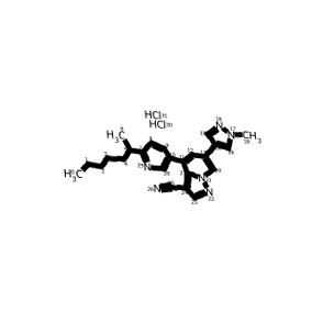 CCCCCC(C)c1ccc(-c2cc(-c3cnn(C)c3)cn3ncc(C#N)c23)cn1.Cl.Cl